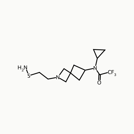 NSCCN1CC2(CC(N(C(=O)C(F)(F)F)C3CC3)C2)C1